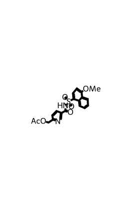 COc1ccc(S(=O)(=O)NC(=O)c2ccc(COC(C)=O)nc2)c2ccccc12